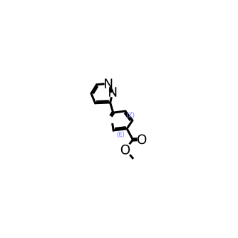 C=C(/C=C\C(=C/C)C(=O)OC)c1cccnn1